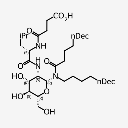 CCCCCCCCCCCCCCN(C(=O)CCCCCCCCCCCCC)[C@@H]1O[C@H](CO)[C@@H](O)[C@H](O)[C@@H]1NC(=O)[C@H](CC(C)C)NC(=O)CCC(=O)O